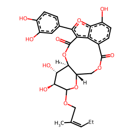 CC/C=C(/C)COC1O[C@H]2COC(=O)c3ccc(O)c4oc(-c5ccc(O)c(O)c5)c(c34)C(=O)O[C@@H]2[C@@H](O)[C@@H]1O